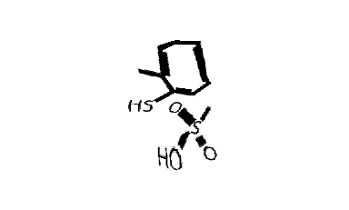 CS(=O)(=O)O.Cc1ccccc1S